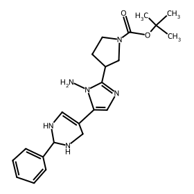 CC(C)(C)OC(=O)N1CCC(c2ncc(C3=CNC(c4ccccc4)NC3)n2N)C1